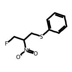 O=[N+]([O-])C(CF)CSc1ccccc1